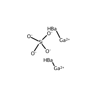 [Ga+2][BaH].[Ga+2][BaH].[O-][Si]([O-])([O-])[O-]